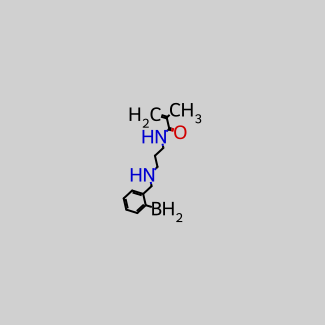 Bc1ccccc1CNCCCNC(=O)C(=C)C